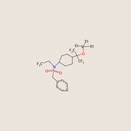 CC[Si](CC)(CC)OC(C1CCC(N(CC(F)(F)F)S(=O)(=O)Cc2ccccc2)CC1)(C(F)(F)F)C(F)(F)F